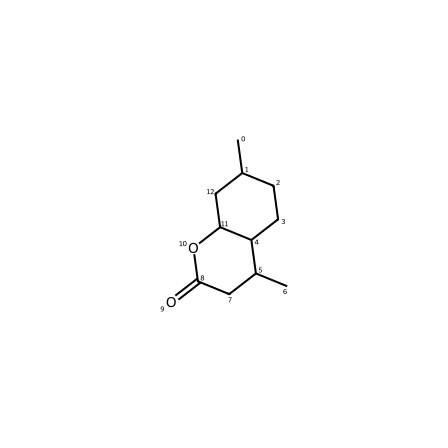 CC1CCC2C(C)CC(=O)OC2C1